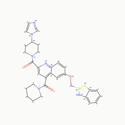 O=C(c1cc(C(=O)N2CCCCC2)c2cc(OC[SH]3Nc4ccccc4S3)ccc2n1)N1CCC(n2ccnc2)CC1